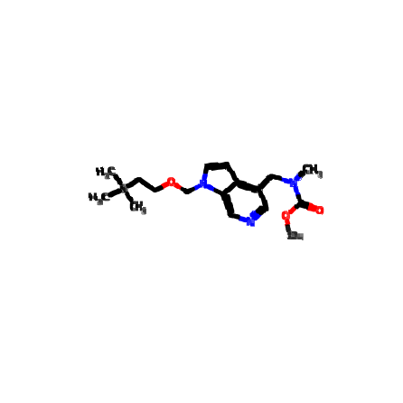 CN(Cc1cncc2c1ccn2COCC[Si](C)(C)C)C(=O)OC(C)(C)C